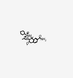 CCCN(NS(=O)(=O)C1CCCCC1)C1C(OC)Cc2ccc(C(N)=O)cc2C1(C)C